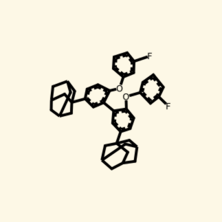 Fc1cccc(Oc2ccc(C34CC5CC(CC(C5)C3)C4)cc2-c2cc(C34CC5CC(CC(C5)C3)C4)ccc2Oc2cccc(F)c2)c1